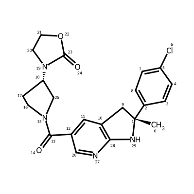 C[C@]1(c2ccc(Cl)cc2)Cc2cc(C(=O)N3CC[C@H](N4CCOC4=O)C3)cnc2N1